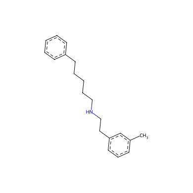 Cc1cccc(CCNCCCCCc2ccccc2)c1